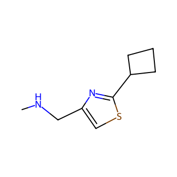 CNCc1csc(C2CCC2)n1